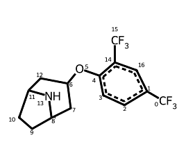 FC(F)(F)c1ccc(OC2C[C]3CCC(C2)N3)c(C(F)(F)F)c1